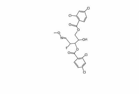 CON=CC(F)C(OC(=O)c1ccc(Cl)cc1Cl)C(O)COC(=O)c1ccc(Cl)cc1Cl